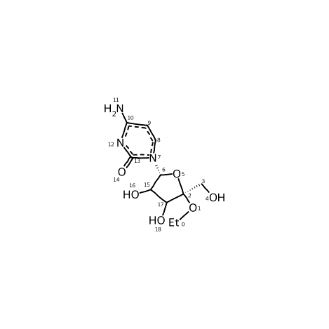 CCO[C@]1(CO)O[C@@H](n2ccc(N)nc2=O)C(O)C1O